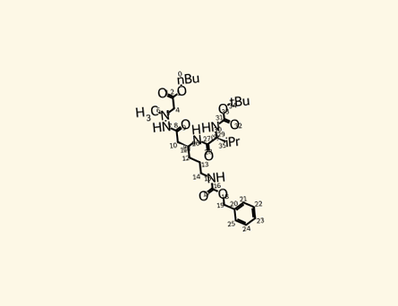 CCCCOC(=O)CN(C)NC(=O)C[C@H](CCCNC(=O)OCc1ccccc1)NC(=O)[C@@H](NC(=O)OC(C)(C)C)C(C)C